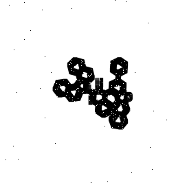 c1ccc(-c2cc(C3NC(n4c5ccc6ccccc6c5c5c6ccccc6ccc54)=Nc4ccccc43)c3c(c2)oc2cc4ccccc4cc23)cc1